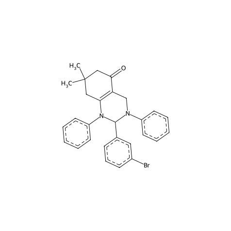 CC1(C)CC(=O)C2=C(C1)N(c1ccccc1)C(c1cccc(Br)c1)N(c1ccccc1)C2